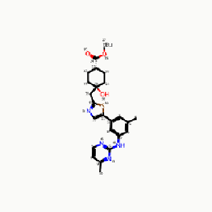 Cc1cc(Nc2nccc(C)n2)cc(-c2cnc(C[C@]3(O)CC[C@H](C(=O)OC(C)(C)C)CC3)s2)c1